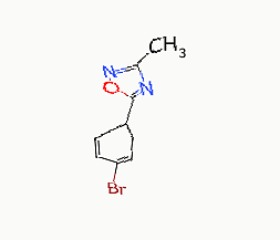 Cc1noc(C2C=CC(Br)=CC2)n1